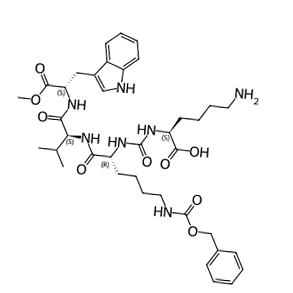 COC(=O)[C@H](Cc1c[nH]c2ccccc12)NC(=O)[C@@H](NC(=O)[C@@H](CCCCNC(=O)OCc1ccccc1)NC(=O)N[C@@H](CCCCN)C(=O)O)C(C)C